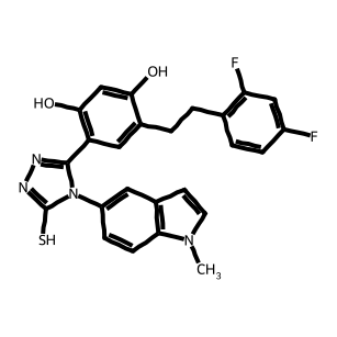 Cn1ccc2cc(-n3c(S)nnc3-c3cc(CCc4ccc(F)cc4F)c(O)cc3O)ccc21